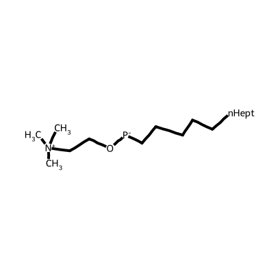 CCCCCCCCCCCC[P-]OCC[N+](C)(C)C